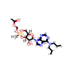 B[PH]1(OCOC(C)=O)OC[C@H]2O[C@@H](n3cnc4c(N(CCC)CCC)ncnc43)[C@@H](O)[C@H]2O1